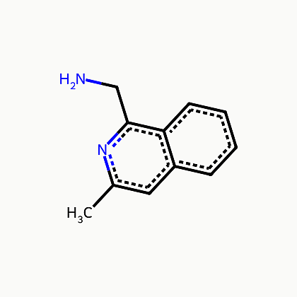 Cc1cc2ccccc2c(CN)n1